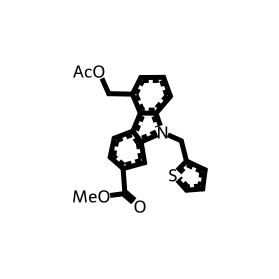 COC(=O)c1ccc2c3c(COC(C)=O)cccc3n(Cc3cccs3)c2c1